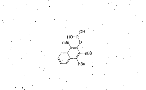 CCCCc1c(OP(O)O)c(CCCC)c2ccccc2c1CCCC